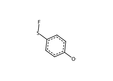 [O]c1ccc(SF)cc1